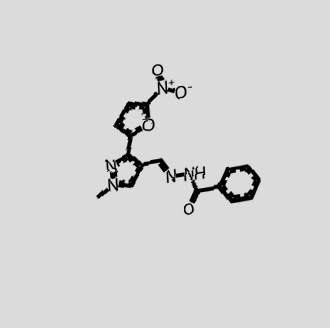 Cn1cc(C=NNC(=O)c2ccccc2)c(-c2ccc([N+](=O)[O-])o2)n1